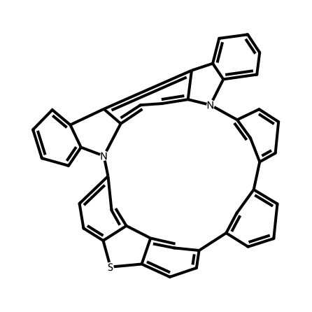 c1cc2cc(c1)c1cccc(c1)n1c3ccccc3c3c4c5ccccc5n(c5ccc6sc7ccc2cc7c6c5)c4ccc31